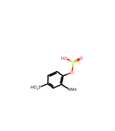 CNc1cc(S(=O)(=O)O)ccc1OS(=O)O